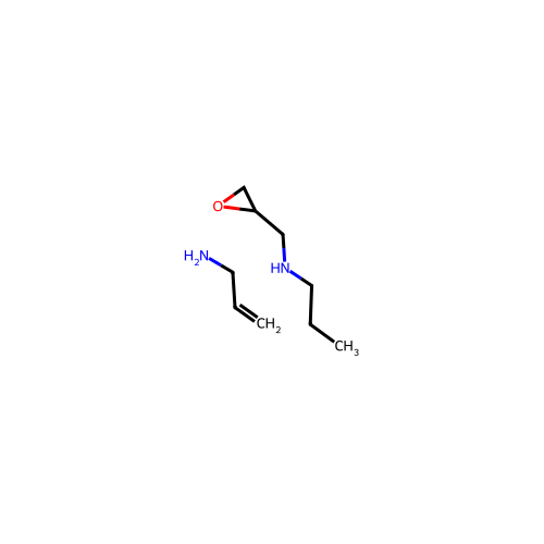 C=CCN.CCCNCC1CO1